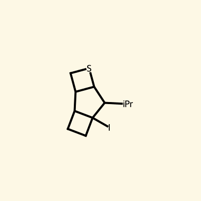 CC(C)C1C2SCC2C2CCC21I